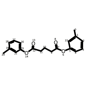 Cc1cccc(OC(=O)CCCC(=O)Oc2cccc(C)c2)c1